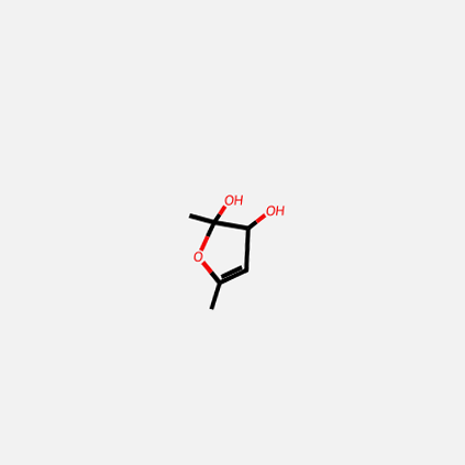 CC1=CC(O)C(C)(O)O1